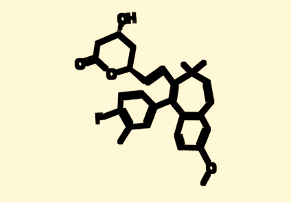 COc1ccc2c(c1)C=CC(C)(C)C(/C=C/[C@@H]1C[C@@H](O)CC(=O)O1)=C2c1ccc(F)c(C)c1